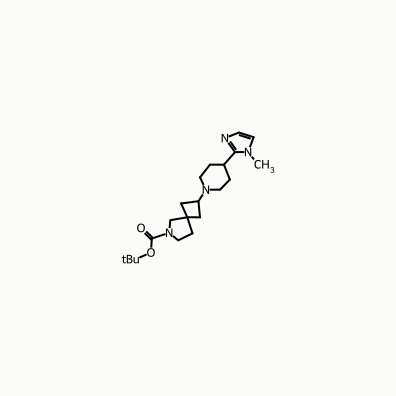 Cn1ccnc1C1CCN(C2CC3(CCN(C(=O)OC(C)(C)C)C3)C2)CC1